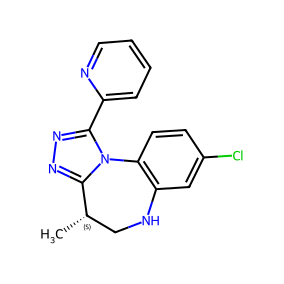 C[C@H]1CNc2cc(Cl)ccc2-n2c(-c3ccccn3)nnc21